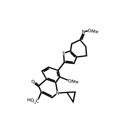 CO/N=C1\CCc2cc(-c3ccc4c(=O)c(C(=O)O)cn(C5CC5)c4c3OC)sc2C1